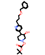 CC(C)(C)OC(=O)ON1CCC(c2ccc(CCCOCc3ccccc3)nc2)C(O)C1